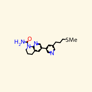 CSCCCc1cncc(-c2cnc3c(c2)CCCN3C(N)=O)c1